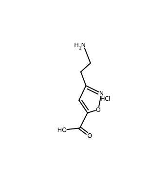 Cl.NCCc1cc(C(=O)O)on1